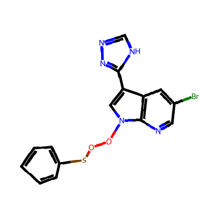 Brc1cnc2c(c1)c(-c1nnc[nH]1)cn2OOSc1ccccc1